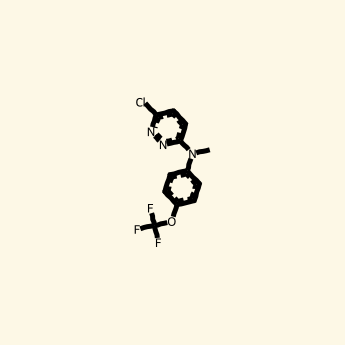 CN(c1ccc(OC(F)(F)F)cc1)c1ccc(Cl)nn1